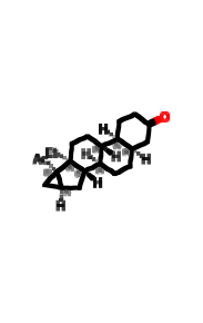 CC[C@]12CC[C@H]3[C@@H](CC[C@@H]4CC(=O)CC[C@@H]43)[C@@H]1C[C@H]1C[C@]12C(C)=O